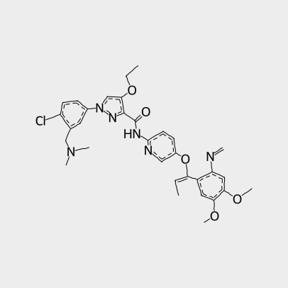 C=Nc1cc(OC)c(OC)cc1/C(=C\C)Oc1ccc(NC(=O)c2nn(-c3ccc(Cl)c(CN(C)C)c3)cc2OCC)nc1